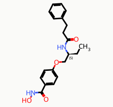 CC[C@@H](COc1ccc(C(=O)NO)cc1)NC(=O)CCc1ccccc1